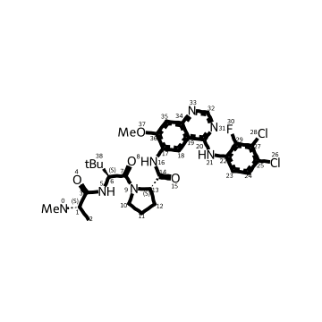 CN[C@@H](C)C(=O)N[C@H](C(=O)N1CCC[C@H]1C(=O)Nc1cc2c(Nc3ccc(Cl)c(Cl)c3F)ncnc2cc1OC)C(C)(C)C